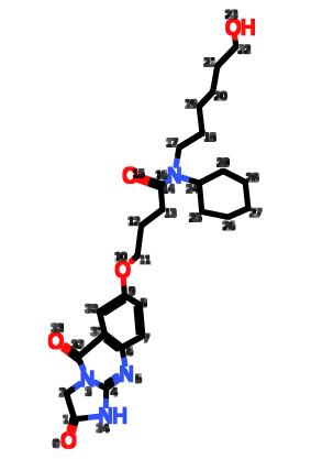 O=C1Cn2c(nc3ccc(OCCCC(=O)N(CCCCCCO)C4CCCCC4)cc3c2=O)N1